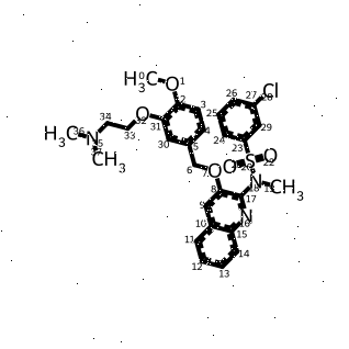 COc1ccc(COc2cc3ccccc3nc2N(C)S(=O)(=O)c2cccc(Cl)c2)cc1OCCN(C)C